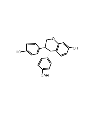 COc1ccc([C@H]2c3ccc(O)cc3OC[C@@H]2c2ccc(O)cc2)cc1